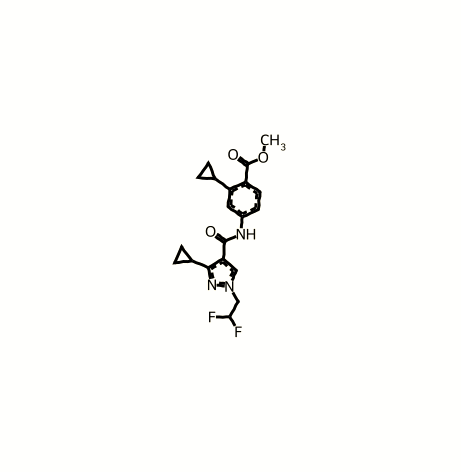 COC(=O)c1ccc(NC(=O)c2cn(CC(F)F)nc2C2CC2)cc1C1CC1